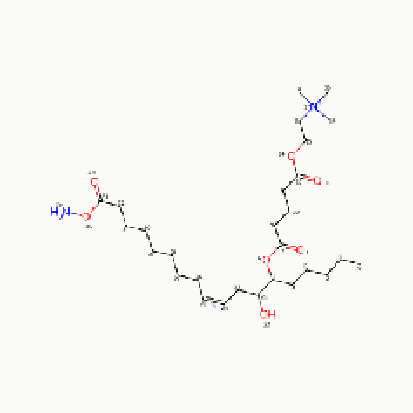 CCCCCC(OC(=O)CCCC(=O)OCC[N+](C)(C)C)C(O)C/C=C\CCCCCCCC(=O)ON